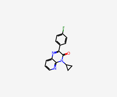 O=c1c(-c2ccc(F)cc2)nc2cccnc2n1C1CC1